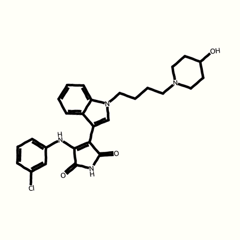 O=C1NC(=O)C(c2cn(CCCCN3CCC(O)CC3)c3ccccc23)=C1Nc1cccc(Cl)c1